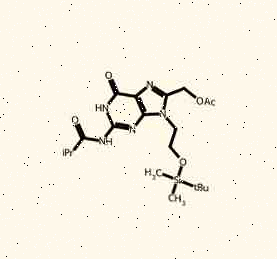 CC(=O)OCc1nc2c(=O)[nH]c(NC(=O)C(C)C)nc2n1CCO[Si](C)(C)C(C)(C)C